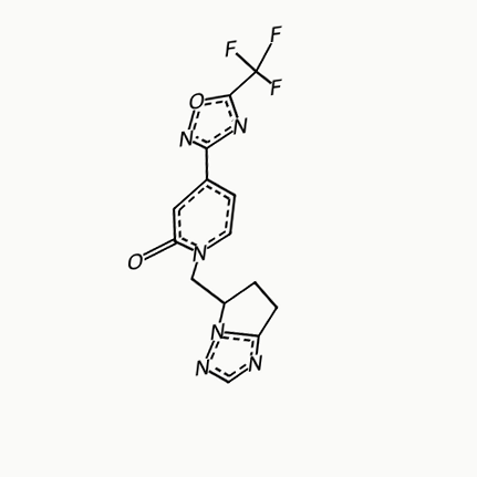 O=c1cc(-c2noc(C(F)(F)F)n2)ccn1CC1CCc2ncnn21